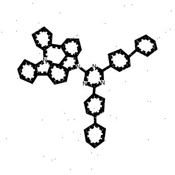 c1ccc(-c2ccc(-c3nc(-c4ccc(-c5ccccc5)cc4)nc(-n4c5cccc6c7ccccc7n7c8ccccc8c8ccc4c(c65)c87)n3)cc2)cc1